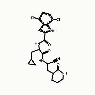 N#CC(CC1CCCNC1=O)NC(=O)C(CC1CC1)NC(=O)c1cc2c(Cl)ccc(Cl)c2[nH]1